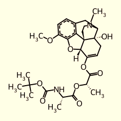 COc1ccc2c3c1O[C@H]1C(OC(=O)[C@H](C)OC(=O)[C@H](C)NC(=O)OC(C)(C)C)=CC[C@]4(O)C(C2)N(C)CC[C@]314